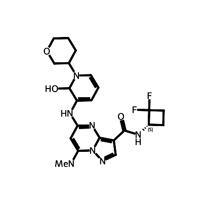 CNc1cc(NC2=CC=CN(C3CCCOC3)C2O)nc2c(C(=O)N[C@H]3CCC3(F)F)cnn12